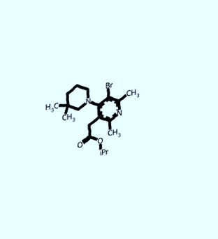 Cc1nc(C)c(CC(=O)OC(C)C)c(N2CCCC(C)(C)C2)c1Br